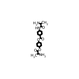 C=C(N)C(=O)Nc1ccc(C(=O)Oc2ccc(OC(=O)C(=C)N)cc2)cc1